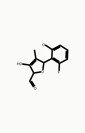 CC1=C(O)C(C=O)OC1c1c(F)cccc1Cl